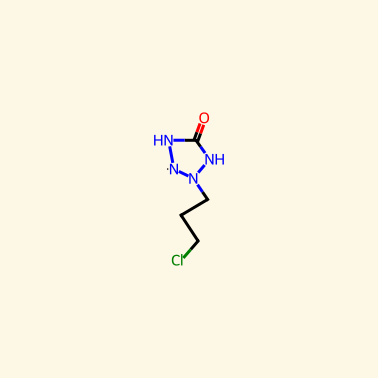 O=C1N[N]N(CCCCl)N1